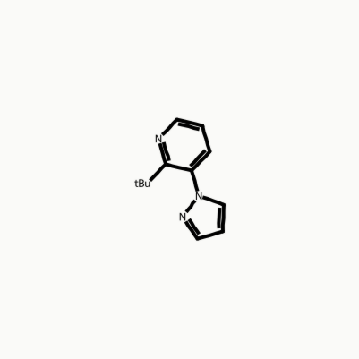 CC(C)(C)c1ncccc1-n1cccn1